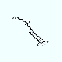 CC(C)CCCCCOC(=O)CCCCCCCCCCC(C(C)C)C(C(=O)OCCCCCC(C)C)C(C)C